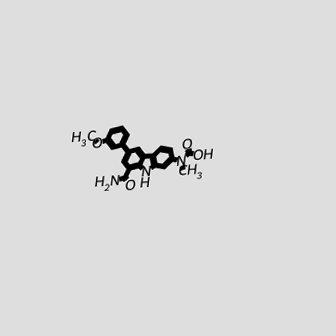 COc1cccc(-c2cc(C(N)=O)c3[nH]c4cc(N(C)C(=O)O)ccc4c3c2)c1